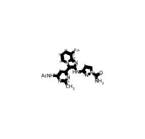 CC(=O)Nc1cc(-c2c(Nc3ccn(C(N)=O)n3)nc3c(F)cccn23)nc(C)n1